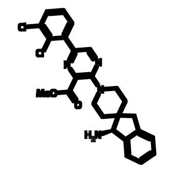 COC(=O)c1nc(-c2cccc(Cl)c2Cl)cnc1N1CCC2(CC1)Cc1ccccc1[C@H]2N